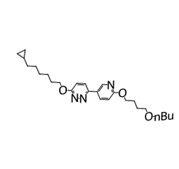 CCCCOCCCCOc1ccc(-c2ccc(OCCCCCCC3CC3)nn2)cn1